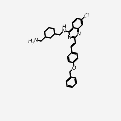 NCC1CCCC(CNc2nc(C=Cc3ccc(OCc4ccccc4)cc3)nc3cc(Cl)ccc23)C1